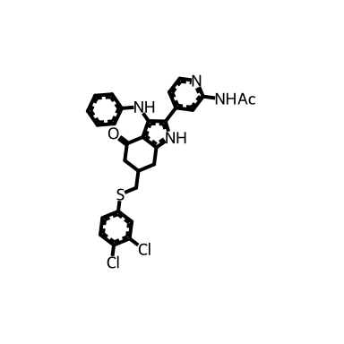 CC(=O)Nc1cc(-c2[nH]c3c(c2Nc2ccccc2)C(=O)CC(CSc2ccc(Cl)c(Cl)c2)C3)ccn1